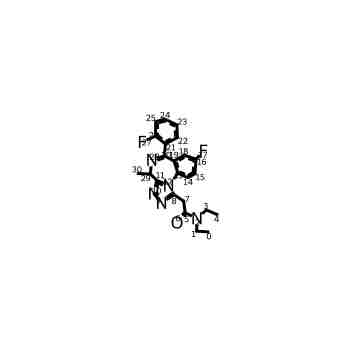 CCN(CC)C(=O)Cc1nnc2n1-c1ccc(F)cc1C(c1ccccc1F)=NC2C